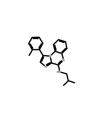 Cc1ccccc1-c1cnc2c(NCC(C)C)nc3ccccc3n12